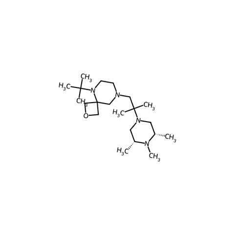 C[C@@H]1CN(C(C)(C)CN2CCN(C(C)(C)C)C3(COC3)C2)C[C@H](C)N1C